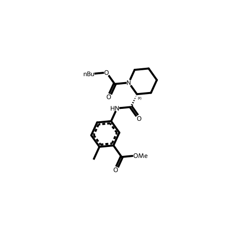 CCCCOC(=O)N1CCCC[C@@H]1C(=O)Nc1ccc(C)c(C(=O)OC)c1